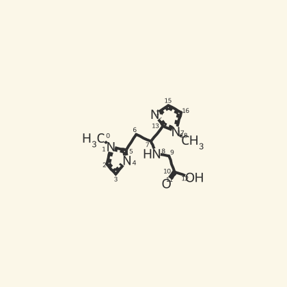 Cn1ccnc1CC(NCC(=O)O)c1nccn1C